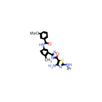 COc1cccc(C(=O)Nc2ccc(C)c(-c3noc(-c4sc(NC(C)C)nc4N)n3)c2)c1